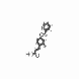 O=C(O)C=Cc1ccc(OCc2ccccn2)cc1F